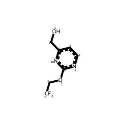 OCc1ccnc(OCC(F)(F)F)n1